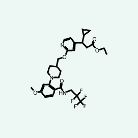 CCOC(=O)CC(c1ccnc(OCC2CCN(c3cc(OC)ccc3C(=O)NCC(F)(F)C(F)(F)F)CC2)c1)C1CC1